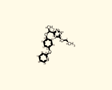 CCOc1nnc(C(C)Oc2ccc(Oc3ccccn3)cc2)s1